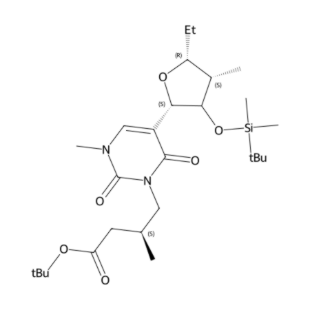 CC[C@H]1O[C@@H](c2cn(C)c(=O)n(C[C@@H](C)CC(=O)OC(C)(C)C)c2=O)C(O[Si](C)(C)C(C)(C)C)[C@H]1C